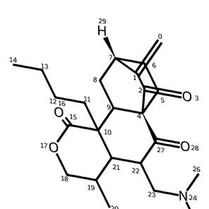 C=C1C(=O)[C@]23CC[C@H]1CC2C1(CCCC)C(=O)OCC(C)C1C(CN(C)C)C3=O